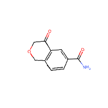 NC(=O)c1ccc2c(c1)C(=O)COC2